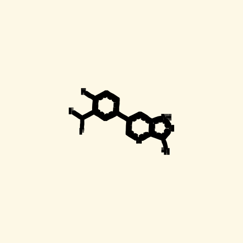 [2H]c1n[nH]c2cc(-c3ccc(F)c(C(F)F)c3)cnc12